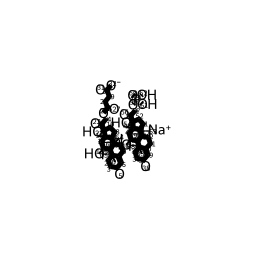 C[C@]12CCC(=O)C=C1CC[C@@H]1[C@@H]2[C@@H](O)C[C@@]2(C)[C@H]1CC[C@]2(O)C(=O)COC(=O)CCC(=O)[O-].C[C@]12CCC(=O)C=C1CC[C@@H]1[C@@H]2[C@@H](O)C[C@@]2(C)[C@H]1CC[C@]2(O)C(=O)COP(=O)(O)O.[Na+]